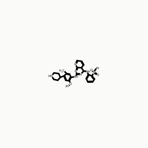 Cc1cc(NC2=NC(Nc3ccccc3S(=O)(=O)C(C)C)C3C=CC=NC3=N2)c(OC(C)C)cc1C1CCNCC1